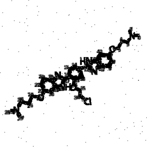 CN(C)CCCOc1ccc2nc(-c3ccc(-c4nc5ccc(OCCCN(C)C)cc5[nH]4)c(OCCCl)c3)[nH]c2c1